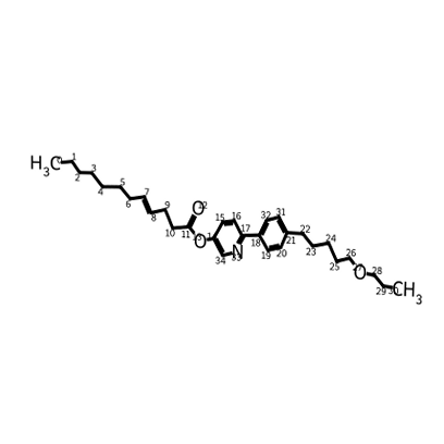 CCCCCCC/C=C/CCC(=O)Oc1ccc(-c2ccc(CCCCCOCCC)cc2)nc1